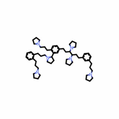 c1cc(CCCN2CCCC2)cc(CCC(C(CCc2ccc(CCCN3CCCC3)c(C3CCCN3CCCc3ccccc3CCCN3CCCC3)c2)N2CCCC2)N2CCCC2)c1